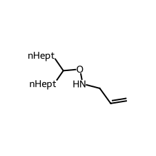 C=CCNOC(CCCCCCC)CCCCCCC